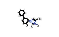 Cc1ccc(-c2ccccc2)cc1N1C=C(C#N)N(C)[C@@H]1C